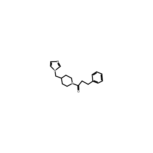 O=C(CCc1ccccc1)N1CCC(Cn2ccnc2)CC1